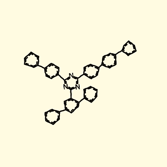 c1ccc(-c2ccc(-c3ccc(-c4nc(-c5ccc(-c6ccccc6)cc5)nc(-c5cc(-c6ccccc6)ccc5-c5ccccc5)n4)cc3)cc2)cc1